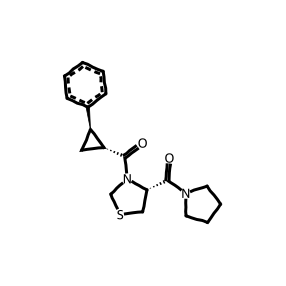 O=C([C@@H]1CSCN1C(=O)[C@@H]1C[C@H]1c1ccccc1)N1CCCC1